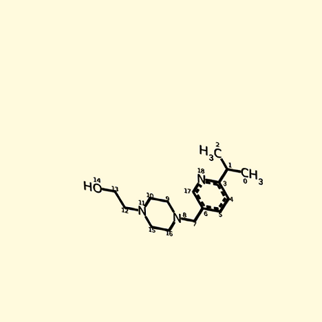 CC(C)c1ccc(CN2CCN(CCO)CC2)cn1